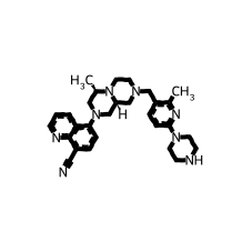 Cc1nc(N2CCNCC2)ccc1CN1CCN2[C@@H](C1)CN(c1ccc(C#N)c3ncccc13)C[C@H]2C